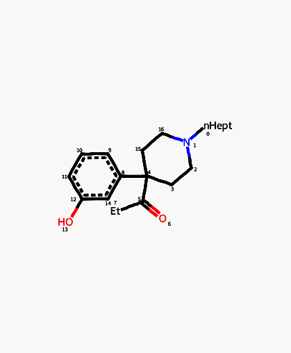 CCCCCCCN1CCC(C(=O)CC)(c2cccc(O)c2)CC1